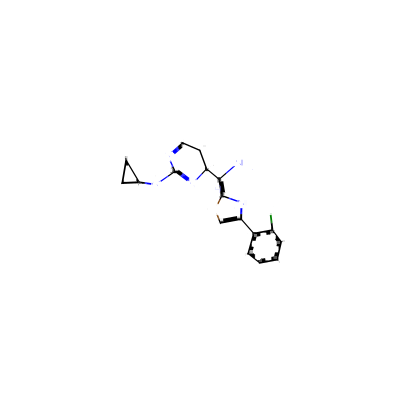 N/C(=C1\NC(c2ccccc2Cl)=CS1)C1CC=NC(NC2CC2)=N1